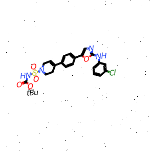 CC(C)(C)OC(=O)NS(=O)(=O)N1CC=C(c2ccc(-c3cnc(Nc4cccc(Cl)c4)o3)cc2)CC1